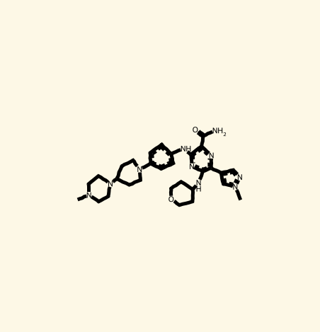 CN1CCN(C2CCN(c3ccc(Nc4nc(NC5CCOCC5)c(-c5cnn(C)c5)nc4C(N)=O)cc3)CC2)CC1